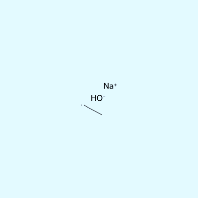 [CH2]C.[Na+].[OH-]